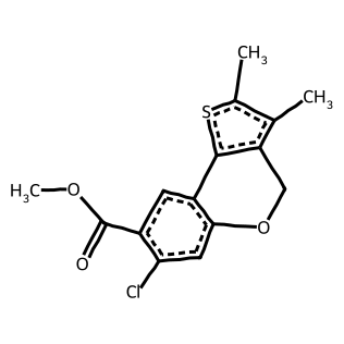 COC(=O)c1cc2c(cc1Cl)OCc1c-2sc(C)c1C